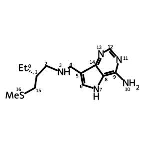 CC[C@H](CNCc1c[nH]c2c(N)ncnc12)CSC